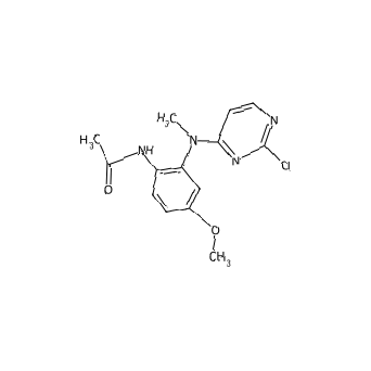 COc1ccc(NC(C)=O)c(N(C)c2ccnc(Cl)n2)c1